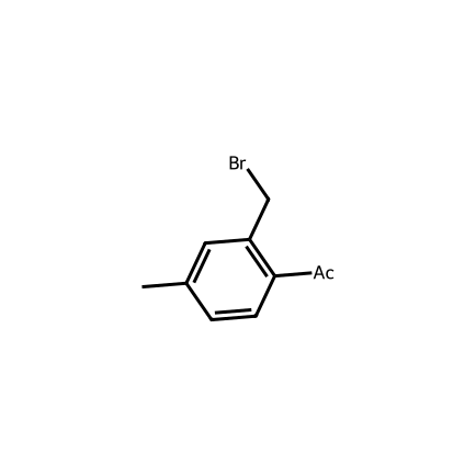 CC(=O)c1ccc(C)cc1CBr